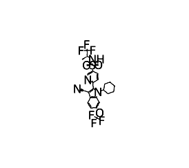 C[C@H](NS(=O)(=O)c1ccc(-c2c(C#N)c3ccc(OC(F)(F)F)cc3n2C2CCCCC2)nc1)C(F)(F)F